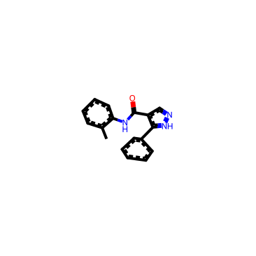 Cc1ccccc1NC(=O)c1cn[nH]c1-c1ccccc1